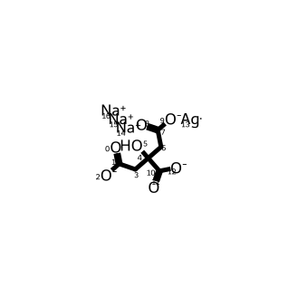 O=C([O-])CC(O)(CC(=O)[O-])C(=O)[O-].[Ag].[Na+].[Na+].[Na+]